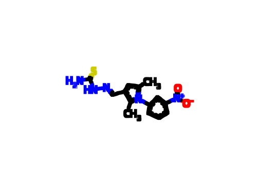 Cc1cc(C=NNC(N)=S)c(C)n1-c1cccc([N+](=O)[O-])c1